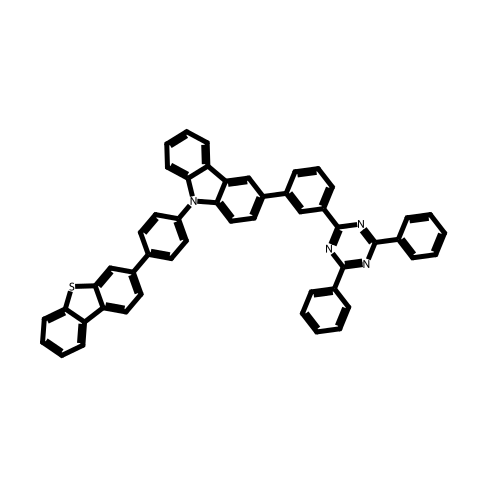 c1ccc(-c2nc(-c3ccccc3)nc(-c3cccc(-c4ccc5c(c4)c4ccccc4n5-c4ccc(-c5ccc6c(c5)sc5ccccc56)cc4)c3)n2)cc1